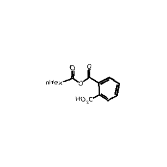 CCCCCCC(=O)OC(=O)c1ccccc1C(=O)O